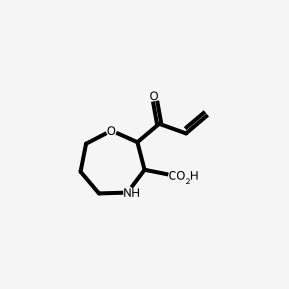 C=CC(=O)C1OCCCNC1C(=O)O